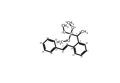 CO[Si](OC)(OC)C(C)c1ccccc1/C=C/c1ccccc1